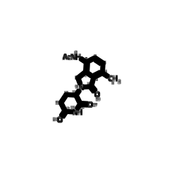 CC(=O)Nc1ccc(C)c2c1CN(C1CCC(=O)NC1=O)C2=O